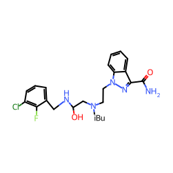 CCC(C)N(CCn1nc(C(N)=O)c2ccccc21)CC(O)NCc1cccc(Cl)c1F